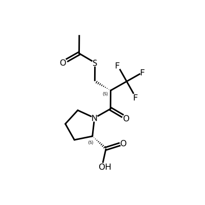 CC(=O)SC[C@@H](C(=O)N1CCC[C@H]1C(=O)O)C(F)(F)F